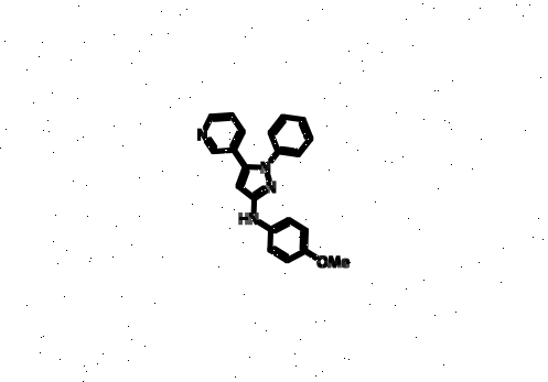 COc1ccc(Nc2cc(-c3cccnc3)n(-c3ccccc3)n2)cc1